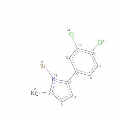 N#Cc1ccc(-c2ccc(Cl)c(Cl)c2)n1Br